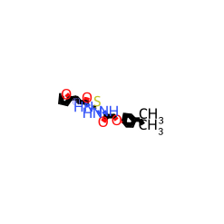 CC(C)c1ccc(OCC(=O)NNC(=S)NC(=O)/C=C/c2ccco2)cc1